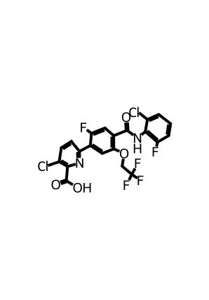 O=C(Nc1c(F)cccc1Cl)c1cc(F)c(-c2ccc(Cl)c(C(=O)O)n2)cc1OCC(F)(F)F